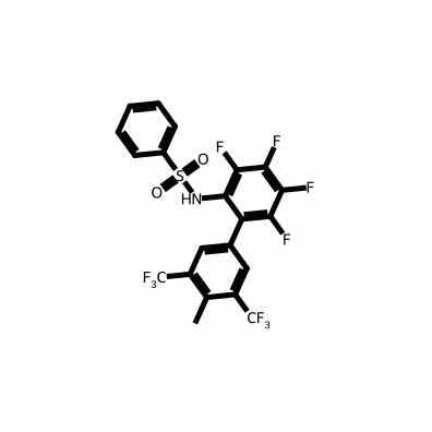 Cc1c(C(F)(F)F)cc(-c2c(F)c(F)c(F)c(F)c2NS(=O)(=O)c2ccccc2)cc1C(F)(F)F